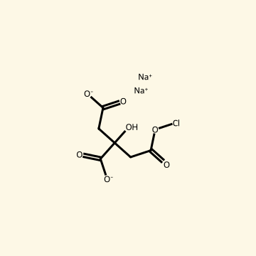 O=C([O-])CC(O)(CC(=O)OCl)C(=O)[O-].[Na+].[Na+]